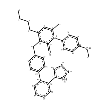 CCCCc1cc(C)n(-c2ncc(OC)cn2)c(=O)c1Cc1ccc(-c2ccccc2-c2nnn[nH]2)cc1